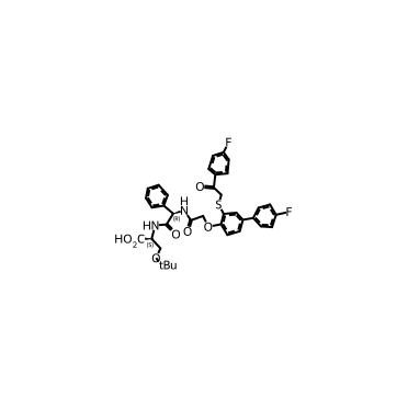 CC(C)(C)OC[C@H](NC(=O)[C@H](NC(=O)COc1ccc(-c2ccc(F)cc2)cc1SCC(=O)c1ccc(F)cc1)c1ccccc1)C(=O)O